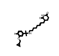 CC(C)(NCCCCC/C=C/CC1CCC(=O)NC1=O)c1ccc(F)c(OCC2CC2)c1